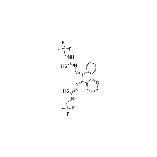 FC(F)(F)CN/C(S)=N/N=C(/C(=N/N=C(\S)NCC(F)(F)F)c1cccnc1)c1ccccc1